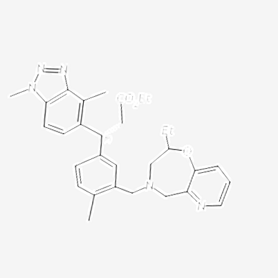 CCOC(=O)C[C@H](c1ccc(C)c(CN2Cc3ncccc3OC(CC)C2)c1)c1ccc2c(nnn2C)c1C